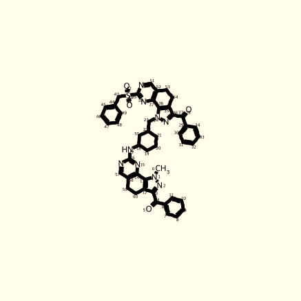 Cn1nc(C(=O)c2ccccc2)c2c1-c1nc(NC3CCCC(Cn4nc(C(=O)c5ccccc5)c5c4-c4nc(S(=O)(=O)Cc6ccccc6)ncc4CC5)C3)ncc1CC2